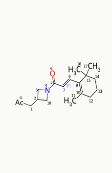 CC(=O)CC1CN(C(=O)/C=C/C2=C(C)CCCC2(C)C)C1